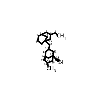 CCC1CC2CCCC(CC3CC4=CC(C)CC(C#N)(C4)C3)(C1)C2